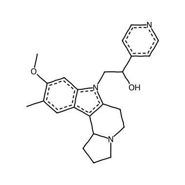 COc1cc2c(cc1C)c1c(n2CC(O)c2ccncc2)CCN2CCCC12